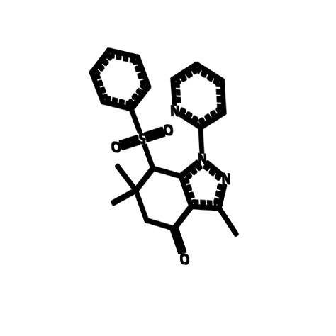 Cc1nn(-c2ccccn2)c2c1C(=O)CC(C)(C)C2S(=O)(=O)c1ccccc1